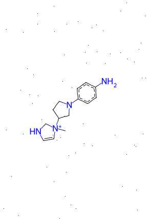 C[N+]1(C2CCN(c3ccc(N)cc3)C2)C=CNC1